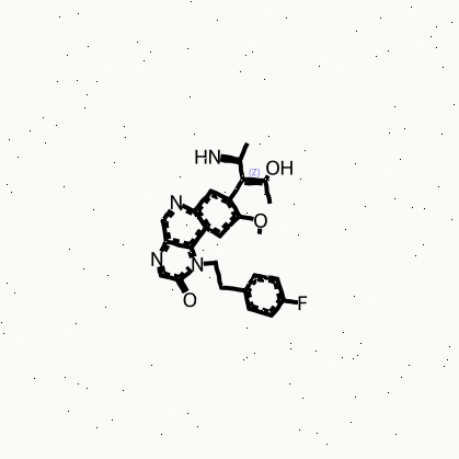 COc1cc2c(cc1/C(C(C)=N)=C(\C)O)ncc1ncc(=O)n(CCc3ccc(F)cc3)c12